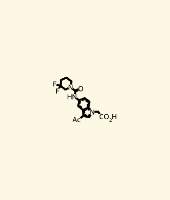 CC(=O)c1cn(CC(=O)O)c2ccc(NC(=O)N3CCCC(F)(F)C3)cc12